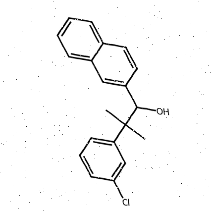 CC(C)(c1cccc(Cl)c1)C(O)c1ccc2ccccc2c1